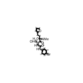 CNC(C)(CCc1ccco1)C(=O)N(C=O)NC(=O)Nc1ccc(Br)cc1